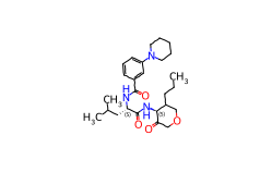 CCCC1COCC(=O)[C@H]1NC(=O)[C@H](CC(C)C)NC(=O)c1cccc(N2CCCCC2)c1